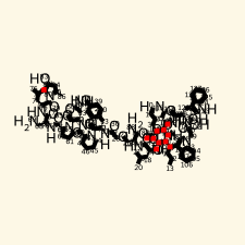 CCCC[C@@H](C(=O)N(C)[C@@H](CCCC)C(=O)N[C@@H](CC(C)C)C(=O)N[C@@H](COCC(=O)N[C@@H](Cc1ccc(O)cc1)C(=O)N1CCCC[C@H]1C(=O)N[C@@H](CC(N)=O)C(=O)N1CCC[C@H]1C(=O)N[C@@H](CN)C(=O)N[C@@H](CC(C)C)C(=O)N1C[C@H](O)C[C@H]1C)C(N)=O)N(C)C(=O)[C@H](Cc1cn(CC(=O)O)c2ccccc12)NC(=O)[C@H](CCN)NC(=O)[C@H](Cc1c[nH]c2ccccc12)NO